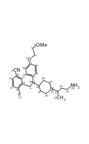 COCCOc1ccc(N(Cc2cc(C#N)ccc2F)C2CCN(C(C)CCN)CC2)cc1